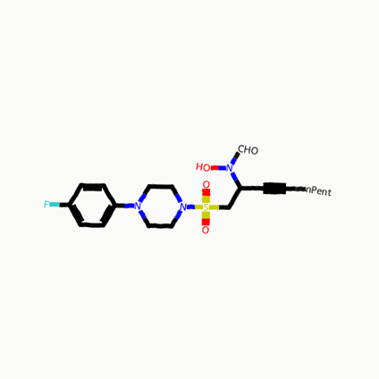 CCCCCC#CC(CS(=O)(=O)N1CCN(c2ccc(F)cc2)CC1)N(O)C=O